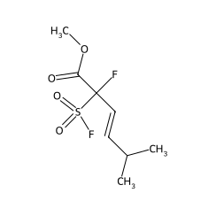 COC(=O)C(F)(/C=C/C(C)C)S(=O)(=O)F